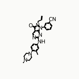 C=CCn1c(=O)c2cnc(Nc3ccc(N4CCN(C)CC4)c(C)c3)nc2n1-c1cccc(C#N)c1